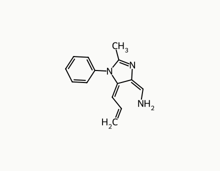 C=C/C=c1\c(=C/N)nc(C)n1-c1ccccc1